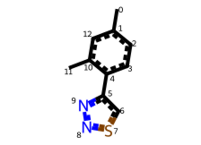 Cc1ccc(-c2csnn2)c(C)c1